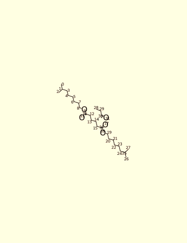 CC(C)CCCCCCOC(=O)CCCCC(=O)OCCCCCCC(C)C.CC[C]=O